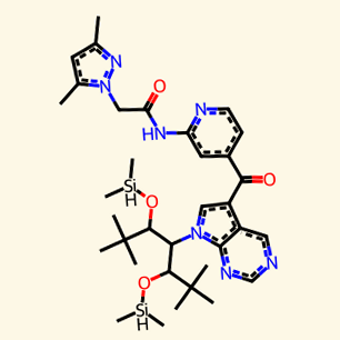 Cc1cc(C)n(CC(=O)Nc2cc(C(=O)c3cn(C(C(O[SiH](C)C)C(C)(C)C)C(O[SiH](C)C)C(C)(C)C)c4ncncc34)ccn2)n1